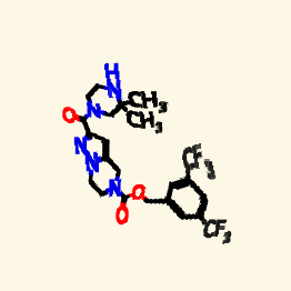 CC1(C)CN(C(=O)c2cc3n(n2)CCN(C(=O)OCc2cc(C(F)(F)F)cc(C(F)(F)F)c2)C3)CCN1